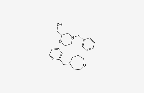 OCC1CN(Cc2ccccc2)CCO1.c1ccc(CN2CCCOCC2)cc1